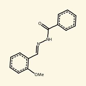 COc1ccccc1C=NNC(=O)c1ccccc1